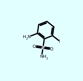 Nc1cccc(I)c1S(N)(=O)=O